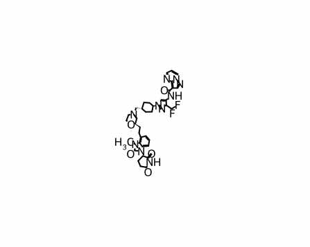 Cn1c(=O)n(C2CCC(=O)NC2=O)c2cccc(CC[C@@H]3CN(C[C@H]4CC[C@H](n5cc(NC(=O)c6cnn7cccnc67)c(C(F)F)n5)CC4)CCO3)c21